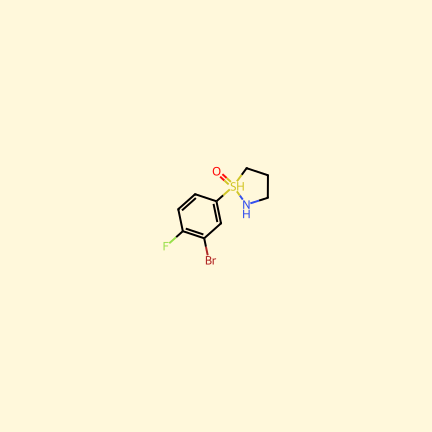 O=[SH]1(c2ccc(F)c(Br)c2)CCCN1